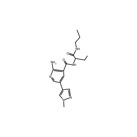 CCCNC(=O)C(CC)NC(=O)c1cc(-c2cnn(C)c2)cnc1N